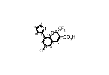 O=C(O)C1=Cc2cc(Cl)cc(-c3ccco3)c2O[C@@H]1C(F)(F)F